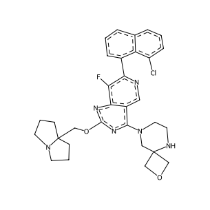 Fc1c(-c2cccc3cccc(Cl)c23)ncc2c(N3CCNC4(COC4)C3)nc(OCC34CCCN3CCC4)nc12